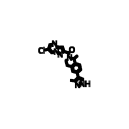 Cc1n[nH]cc1-c1ccc2c(c1)CCN(C(=O)c1cc3ncc(Cl)cn3n1)C2C